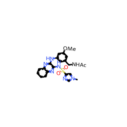 COc1cc(CNC(C)=O)cc(Nc2nc3ccccc3nc2NS(=O)(=O)c2cn(C)cn2)c1